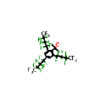 CC(C)([O])c1c(C(F)(F)C(F)(F)C(F)(F)C(F)(F)F)cc(C(F)(F)C(F)(F)C(F)(F)C(F)(F)F)cc1C(F)(F)C(F)(F)C(F)(F)C(F)(F)F